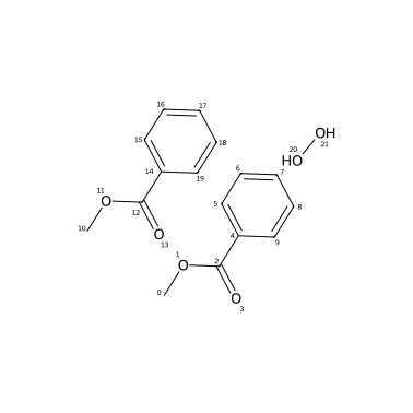 COC(=O)c1ccccc1.COC(=O)c1ccccc1.OO